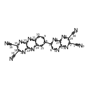 N#Cc1nc2ncc(-c3ccc4nc5nc(C#N)c(C#N)nc5nc4c3)nc2nc1C#N